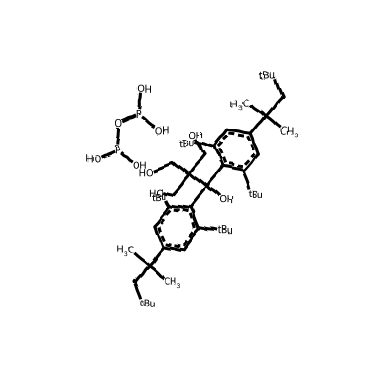 CC(C)(C)CC(C)(C)c1cc(C(C)(C)C)c(C(O)(c2c(C(C)(C)C)cc(C(C)(C)CC(C)(C)C)cc2C(C)(C)C)C(CO)(CO)CO)c(C(C)(C)C)c1.OP(O)OP(O)O